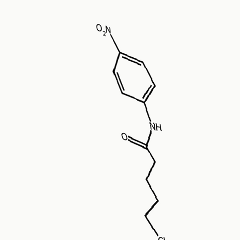 O=C(CCCCCl)Nc1ccc([N+](=O)[O-])cc1